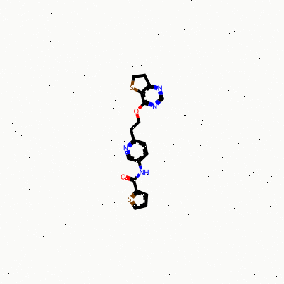 O=C(Nc1ccc(CCOc2ncnc3c2SCC3)nc1)c1cccs1